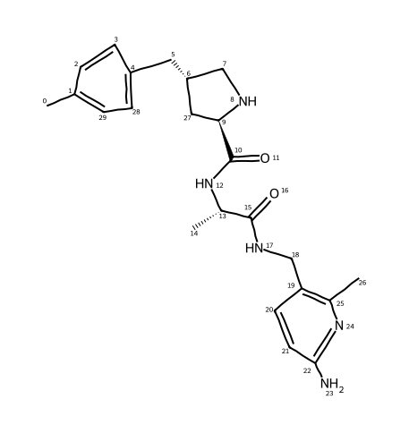 Cc1ccc(C[C@@H]2CN[C@@H](C(=O)N[C@@H](C)C(=O)NCc3ccc(N)nc3C)C2)cc1